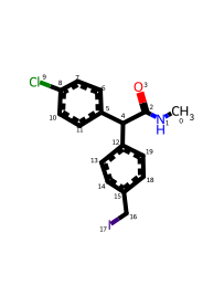 CNC(=O)C(c1ccc(Cl)cc1)c1ccc(CI)cc1